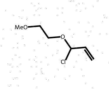 C=CC(Cl)OCCOC